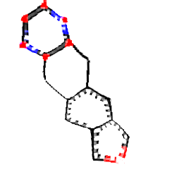 c1cnc2c(c1)C1c3cc4cocc4cc3C2c2nccnc21